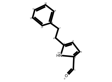 O=Cc1ccc(CCc2ccccc2)[nH]1